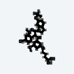 COc1cc(NC(C(=O)N2CCc3ccc(OC(F)(F)F)cc32)c2ccc(Cl)cc2OC)cc(OCCCC(O)O)c1